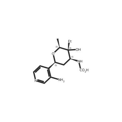 CC[C@@]1(O)[C@@H](NC(=O)O)C[C@@H](c2ccncc2N)O[C@H]1C